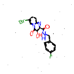 O=C(NCc1ccc(F)cc1)c1nc2ccc(Br)cn2c(=O)c1O